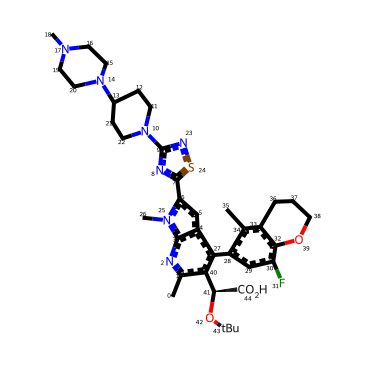 Cc1nc2c(cc(-c3nc(N4CCC(N5CCN(C)CC5)CC4)ns3)n2C)c(-c2cc(F)c3c(c2C)CCCO3)c1[C@H](OC(C)(C)C)C(=O)O